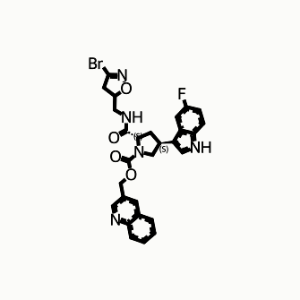 O=C(NCC1CC(Br)=NO1)[C@@H]1C[C@@H](c2c[nH]c3ccc(F)cc23)CN1C(=O)OCc1cnc2ccccc2c1